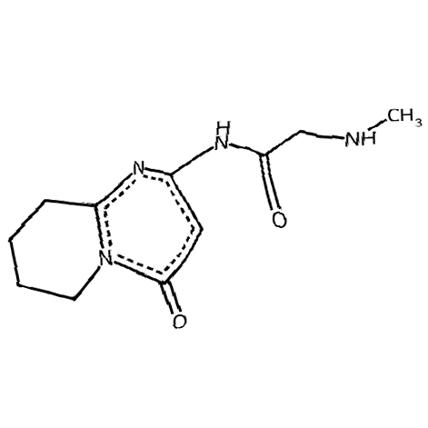 CNCC(=O)Nc1cc(=O)n2c(n1)CCCC2